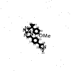 COc1ccc(C2(c3nnc4ncc(-c5ccc(-c6cnn(C)c6)cc5)nn34)CC2)cc1